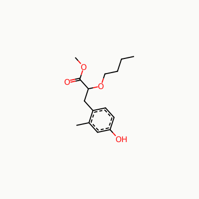 CCCCOC(Cc1ccc(O)cc1C)C(=O)OC